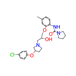 Cc1ccc(NC(=O)N2CCCC2)c(OCC(O)CN2CCC(Oc3ccc(Cl)cc3)C2)c1